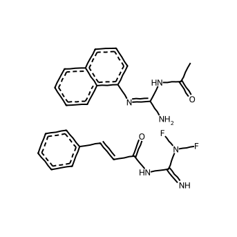 CC(=O)NC(N)=Nc1cccc2ccccc12.N=C(NC(=O)C=Cc1ccccc1)N(F)F